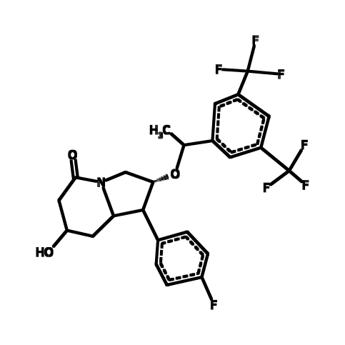 CC(O[C@H]1CN2C(=O)CC(O)CC2C1c1ccc(F)cc1)c1cc(C(F)(F)F)cc(C(F)(F)F)c1